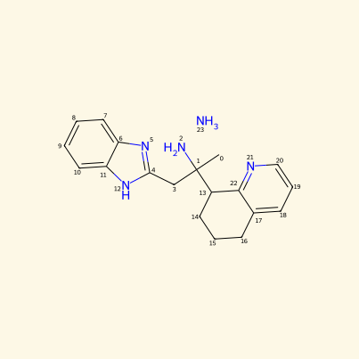 CC(N)(Cc1nc2ccccc2[nH]1)C1CCCc2cccnc21.N